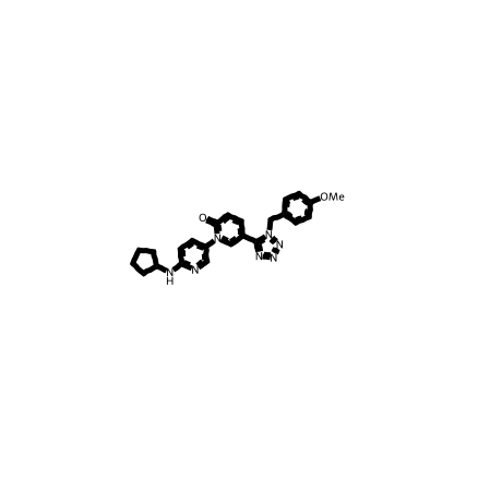 COc1ccc(Cn2nnnc2-c2ccc(=O)n(-c3ccc(NC4CCCC4)nc3)c2)cc1